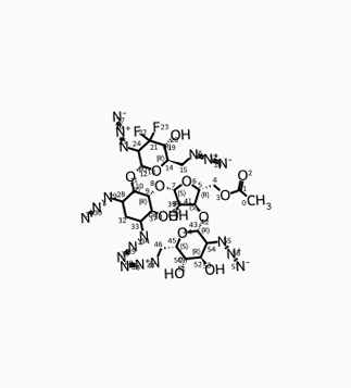 CC(=O)OC[C@H]1O[C@@H](O[C@H]2[C@H](O[C@H]3O[C@H](CN=[N+]=[N-])[C@@H](O)C(F)(F)C3N=[N+]=[N-])C(N=[N+]=[N-])CC(N=[N+]=[N-])[C@@H]2O)[C@H](O)[C@@H]1O[C@H]1O[C@@H](CN=[N+]=[N-])[C@@H](O)[C@H](O)C1N=[N+]=[N-]